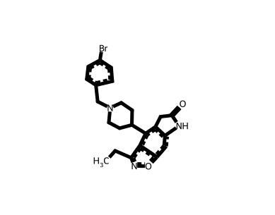 CCc1noc2cc3c(c(C4CCN(Cc5ccc(Br)cc5)CC4)c12)CC(=O)N3